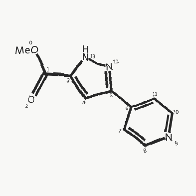 COC(=O)c1cc(-c2ccncc2)n[nH]1